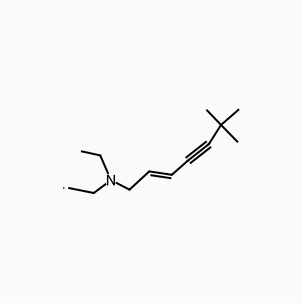 [CH2]CN(CC)C/C=C/C#CC(C)(C)C